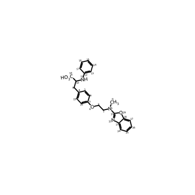 CN(CCOc1ccc(CC(Nc2ccccc2)C(=O)O)cc1)c1nc2ccccc2o1